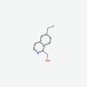 OCc1nccc2cc(CI)ccc12